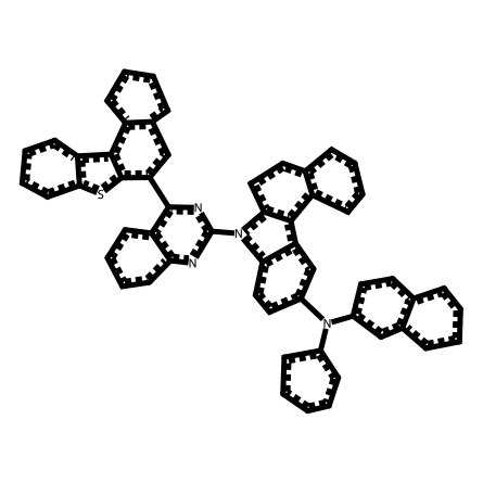 c1ccc(N(c2ccc3ccccc3c2)c2ccc3c(c2)c2c4ccccc4ccc2n3-c2nc(-c3cc4ccccc4c4c3sc3ccccc34)c3ccccc3n2)cc1